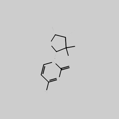 C[C@H]1O[C@@H](n2ccc(N)nc2=O)C(F)(F)[C@H]1O